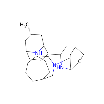 C[C@H]1CC2CCC(C3CC4CCC(N3)C(N3CC5CCCC(CC5)C3)C4)C(C1)N2